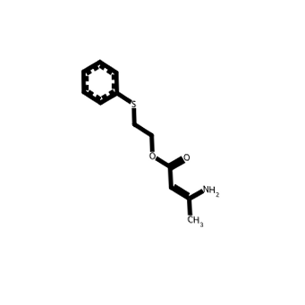 CC(N)=CC(=O)OCCSc1ccccc1